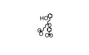 COC(=O)CCCCC(CCc1ccccc1O)Oc1ccc(C(=O)OC)cc1